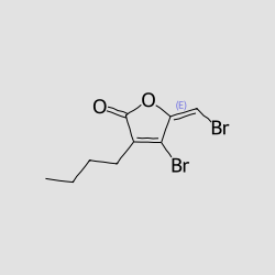 CCCCC1=C(Br)/C(=C\Br)OC1=O